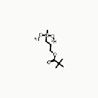 [3H]O[Si](C)(CCCOC(=O)C(C)(C)C)O[3H]